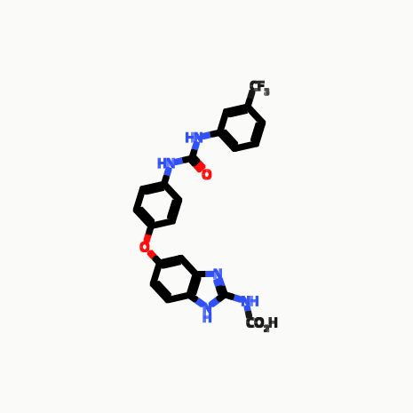 O=C(O)Nc1nc2cc(Oc3ccc(NC(=O)Nc4cccc(C(F)(F)F)c4)cc3)ccc2[nH]1